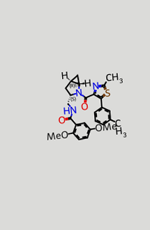 COc1ccc(OC)c(C(=O)NC[C@@H]2C[C@H]3C[C@@H]3N2C(=O)c2nc(C)sc2-c2cccc(C)c2)c1